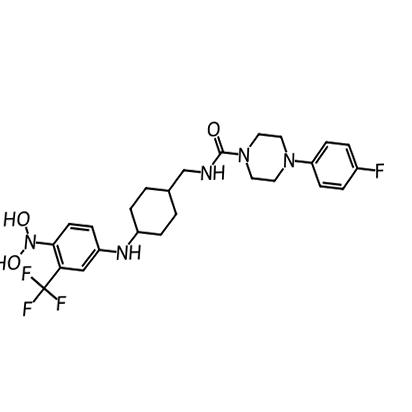 O=C(NCC1CCC(Nc2ccc(N(O)O)c(C(F)(F)F)c2)CC1)N1CCN(c2ccc(F)cc2)CC1